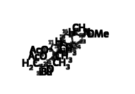 C=C(C(=O)[C@H](OC(C)=O)[C@@H](C)[C@H]1[C@@H](OC(C)=O)C[C@@]2(C)[C@@H]3CC[C@H]4[C@H](C)/C(=N/OC)C=C[C@@]45C[C@@]35CC[C@]12C)[C@@H](C)CC